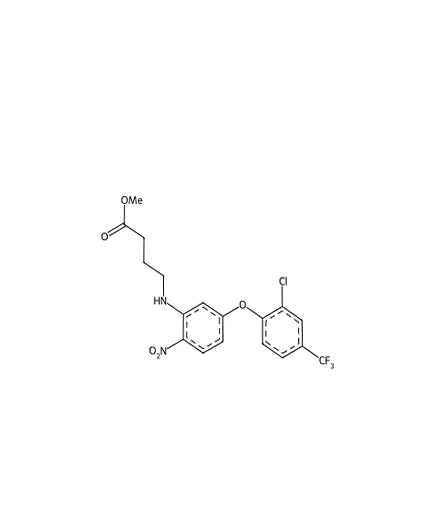 COC(=O)CCCNc1cc(Oc2ccc(C(F)(F)F)cc2Cl)ccc1[N+](=O)[O-]